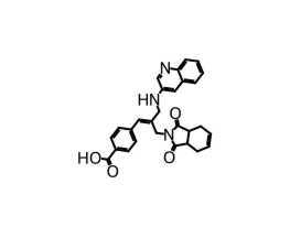 O=C(O)c1ccc(/C=C(/CNc2cnc3ccccc3c2)CN2C(=O)C3CC=CCC3C2=O)cc1